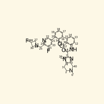 CN1CCc2c(nc(C(=O)Nc3cccc(-c4cccc(-c5cnc(CN6CC(F)C6)c(F)c5)c4Cl)c3Cl)n2C)C1